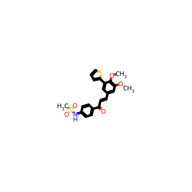 COc1cc(/C=C/C(=O)c2ccc(NS(C)(=O)=O)cc2)cc(-c2cccs2)c1OC